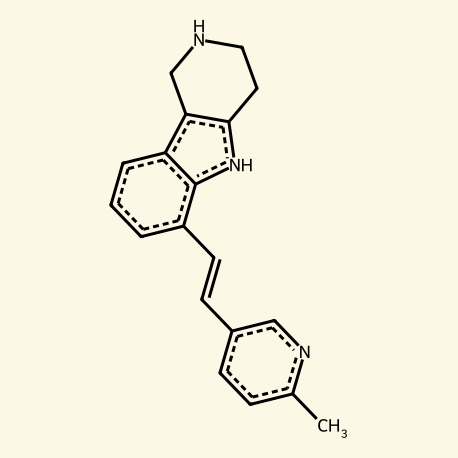 Cc1ccc(C=Cc2cccc3c4c([nH]c23)CCNC4)cn1